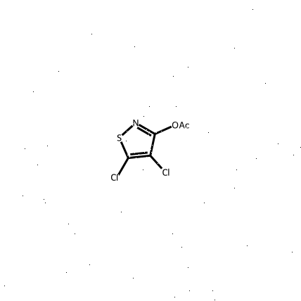 CC(=O)Oc1nsc(Cl)c1Cl